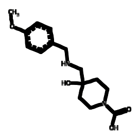 COc1ccc(CNCC2(O)CCN(C(=O)O)CC2)cc1